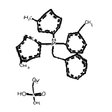 Cc1cccc([PH](Cc2ccccc2)(c2cccc(C)c2)c2cccc(C)c2)c1.O=P(O)(O)O